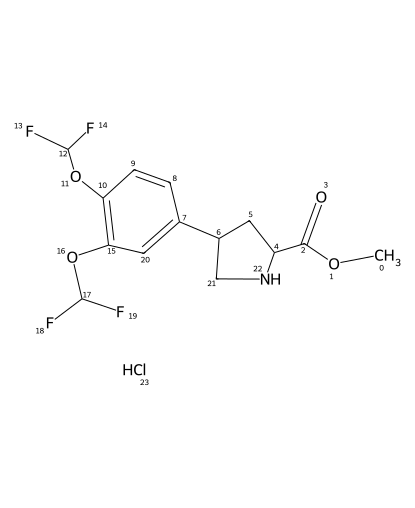 COC(=O)C1CC(c2ccc(OC(F)F)c(OC(F)F)c2)CN1.Cl